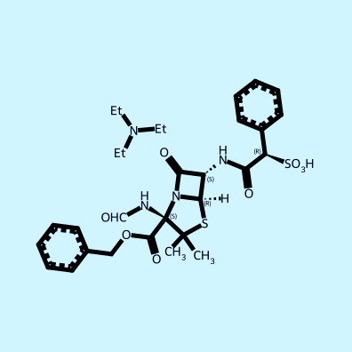 CC1(C)S[C@@H]2[C@@H](NC(=O)[C@@H](c3ccccc3)S(=O)(=O)O)C(=O)N2[C@@]1(NC=O)C(=O)OCc1ccccc1.CCN(CC)CC